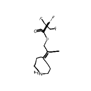 CC(COC(=O)C(F)(F)F)=C1CCNCC1